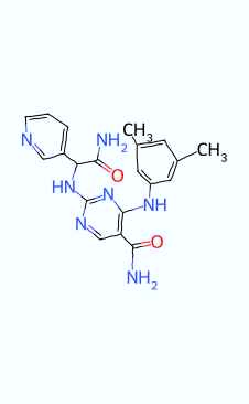 Cc1cc(C)cc(Nc2nc(NC(C(N)=O)c3cccnc3)ncc2C(N)=O)c1